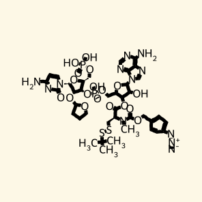 CN(C(=O)OCc1ccc(N=[N+]=[N-])cc1)[C@@H](CSSC(C)(C)C)C(=O)OC1C(COP(=O)(O)O[C@H]2[C@@H](OC3CCCO3)[C@H](n3ccc(N)nc3=O)O[C@@H]2COP(=O)(O)O)OC(n2cnc3c(N)ncnc32)C1O